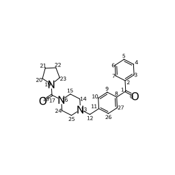 O=C(c1ccccc1)c1ccc(CN2CCN(C(=O)N3CCCC3)CC2)cc1